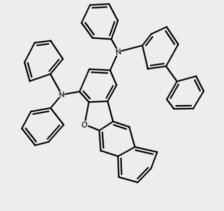 c1ccc(-c2cccc(N(c3ccccc3)c3cc(N(c4ccccc4)c4ccccc4)c4oc5cc6ccccc6cc5c4c3)c2)cc1